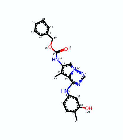 Cc1ccc(Nc2ncnn3cc(NC(=O)OCc4ccccc4)c(C)c23)cc1O